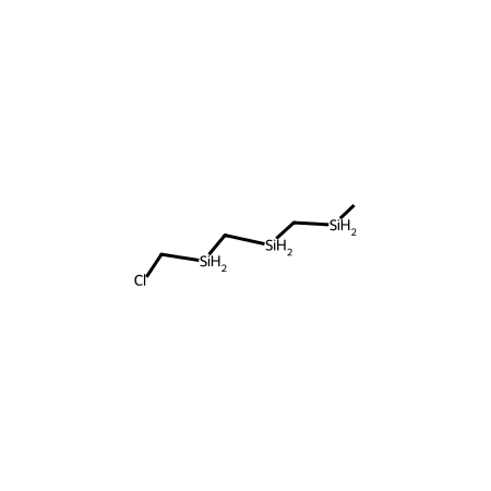 C[SiH2]C[SiH2]C[SiH2]CCl